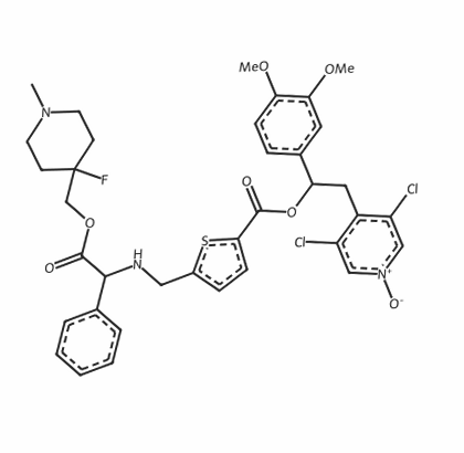 COc1ccc(C(Cc2c(Cl)c[n+]([O-])cc2Cl)OC(=O)c2ccc(CNC(C(=O)OCC3(F)CCN(C)CC3)c3ccccc3)s2)cc1OC